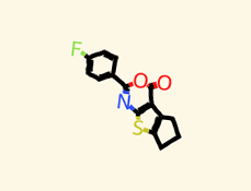 O=c1oc(-c2ccc(F)cc2)nc2sc3c(c12)CCC3